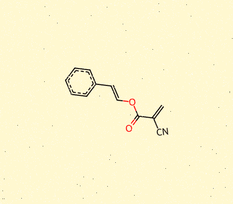 C=C(C#N)C(=O)OC=Cc1ccccc1